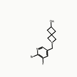 OC1CC2(C1)CN(Cc1cnc(Br)c(F)c1)C2